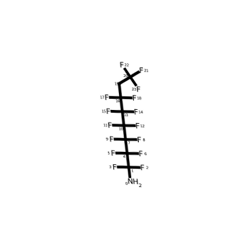 NC(F)(F)C(F)(F)C(F)(F)C(F)(F)C(F)(F)C(F)(F)CC(F)(F)F